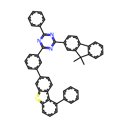 CC1(C)c2ccccc2-c2ccc(-c3nc(-c4ccccc4)nc(-c4cccc(-c5ccc6c(c5)sc5cccc(-c7ccccc7)c56)c4)n3)cc21